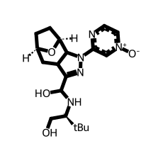 CC(C)(C)[C@@H](CO)NC(O)C1=NN(c2c[n+]([O-])ccn2)C2C1C[C@H]1CC[C@@H]2O1